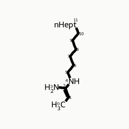 CC=C(N)NCCCCCCCCCCCCC